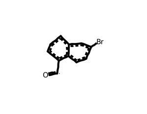 O=[C]c1cccc2cc(Br)ccc12